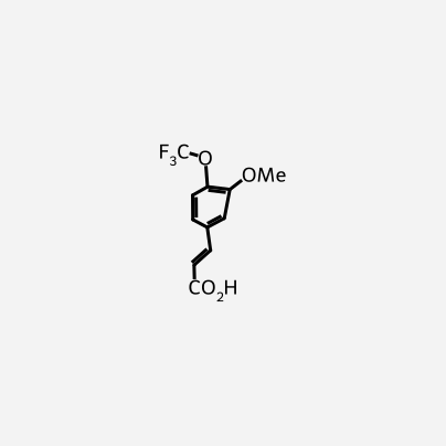 COc1cc(C=CC(=O)O)ccc1OC(F)(F)F